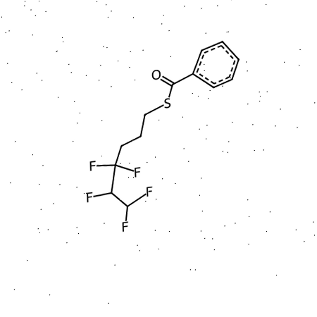 O=C(SCCCC(F)(F)C(F)C(F)F)c1ccccc1